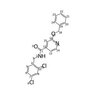 O=C(NCc1ccc(Cl)cc1Cl)c1ccnc(OCc2ccccc2)c1